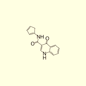 O=C(NC1=CC=CC1)c1c[nH]c2ccccc2c1=O